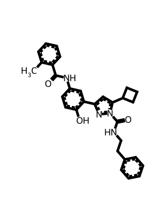 Cc1ccccc1C(=O)Nc1ccc(O)c(-c2cc(C3CCC3)n(C(=O)NCCc3ccccc3)n2)c1